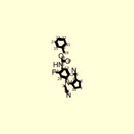 N#CCN(C1=C(C#N)CCC1)c1ccc(NC(=O)OCc2ccccc2)c(F)c1